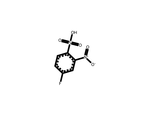 O=[N+]([O-])c1cc(F)ccc1S(=O)(=O)O